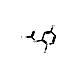 NC(=O)Nc1cc(C(F)(F)F)cc[n+]1[O-]